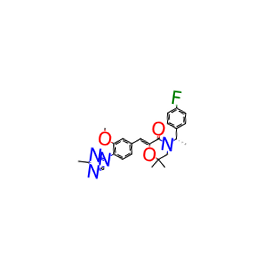 COc1cc(C=C2OC(C)(C)CN([C@@H](C)c3ccc(F)cc3)C2=O)ccc1-n1cnc(C)n1